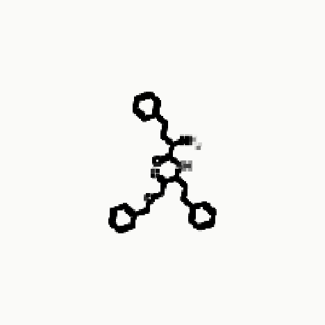 NC(CCc1ccccc1)C(=O)NC(CCc1ccccc1)C(=O)COCc1ccccc1